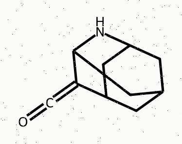 O=C=C1C2CC3CC(C2)NC1C3